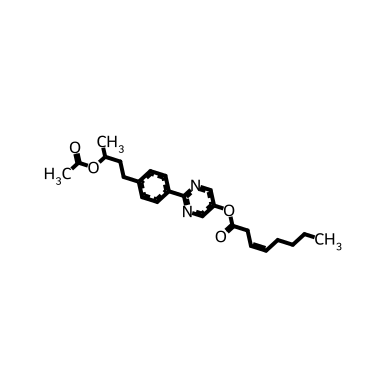 CCCC/C=C\CC(=O)Oc1cnc(-c2ccc(CCC(C)OC(C)=O)cc2)nc1